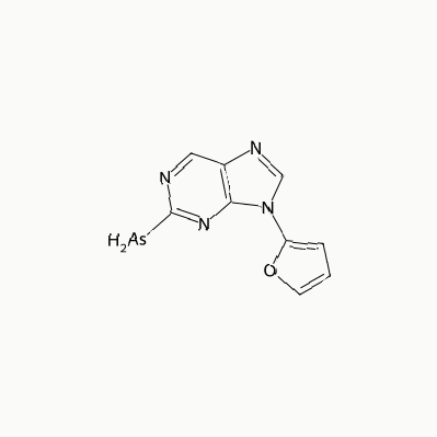 [AsH2]c1ncc2ncn(-c3ccco3)c2n1